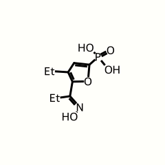 CCC(=NO)c1oc(P(=O)(O)O)cc1CC